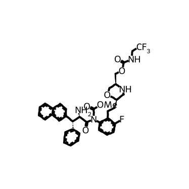 COC(=O)N(C(=O)[C@@H](N)[C@H](c1ccccc1)c1ccc2ccccc2c1)c1cccc(F)c1CC[C@@H]1CN[C@H](COC(=O)NCC(F)(F)F)CO1